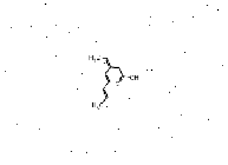 C\C=C(/C=C/C=C/C)CC(=O)O